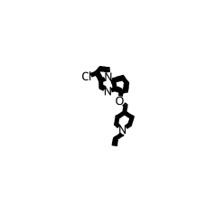 C=CCN1CCC(COc2cccc3c2ncc2c(Cl)ccn23)CC1